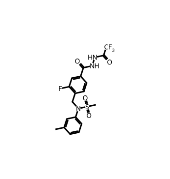 Cc1cccc(N(Cc2ccc(C(=O)NNC(=O)C(F)(F)F)cc2F)S(C)(=O)=O)c1